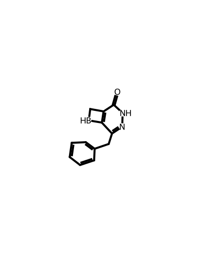 O=c1[nH]nc(Cc2ccccc2)c2c1CB2